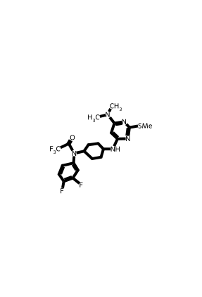 CSc1nc(NC2CCC(N(C(=O)C(F)(F)F)c3ccc(F)c(F)c3)CC2)cc(N(C)C)n1